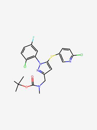 CN(Cc1cc(Sc2ccc(Cl)nc2)n(-c2cc(F)ccc2Cl)n1)C(=O)OC(C)(C)C